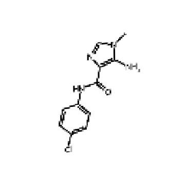 Cn1cnc(C(=O)Nc2ccc(Cl)cc2)c1N